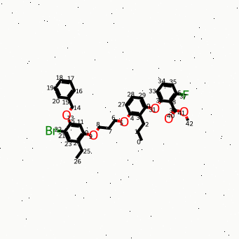 CCCc1c(OCCCOc2cc(OCc3ccccc3)c(Br)cc2CC)cccc1Oc1cccc(F)c1C(=O)OC